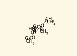 COc1cc(S(=O)(=O)Nc2ccc(C(=O)CSC(C)=O)cn2)ccc1OCCCN(C)C